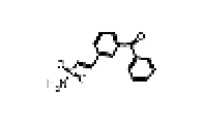 NS(=O)(=O)C=Cc1cccc(C(=O)c2ccccc2)c1